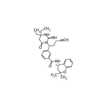 C#CCCC(c1cccc(C(=O)N[C@H]2CC(C)(C)Oc3ccccc32)c1)N1C(=N)NC(CC)(CC)CC1=O